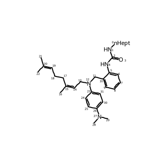 CCCCCCCNC(=O)Nc1ccccc1CN(CC=C(C)CCC=C(C)C)c1ccc(N(C)C)cc1